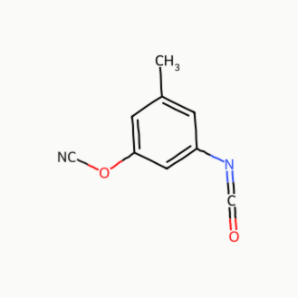 Cc1cc(N=C=O)cc(OC#N)c1